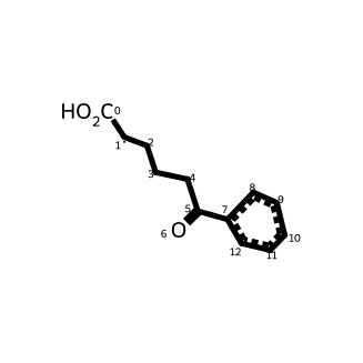 O=C(O)[CH]CCCC(=O)c1ccccc1